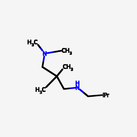 CC(C)CNCC(C)(C)CN(C)C